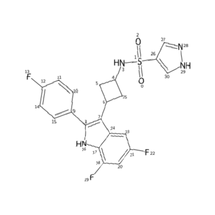 O=S(=O)(NC1CC(c2c(-c3ccc(F)cc3)[nH]c3c(F)cc(F)cc23)C1)c1cn[nH]c1